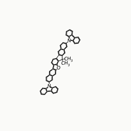 CC1(C)c2cc3cc(-n4c5ccccc5c5ccccc54)ccc3cc2-c2ccc3c(oc4cc5cc(-n6c7ccccc7c7ccccc76)ccc5cc43)c21